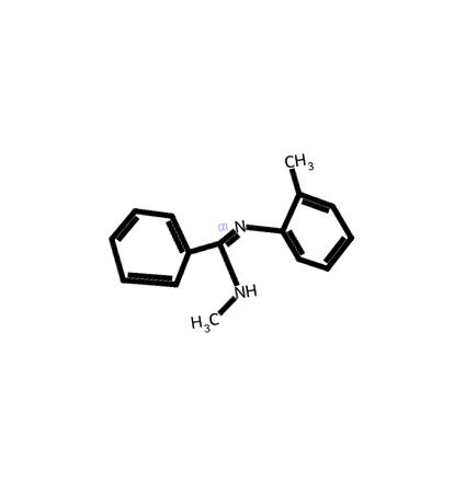 CN/C(=N\c1ccccc1C)c1ccccc1